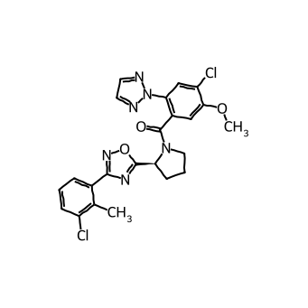 COc1cc(C(=O)N2CCC[C@H]2c2nc(-c3cccc(Cl)c3C)no2)c(-n2nccn2)cc1Cl